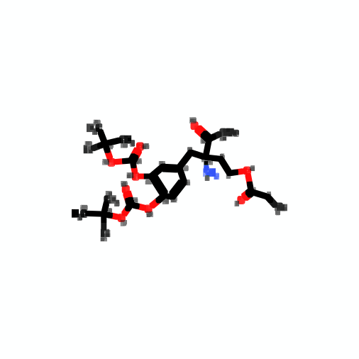 CCC(C)CC(=O)OCC[C@@](N)(Cc1ccc(OC(=O)OC(C)(C)CC)c(OC(=O)OC(C)(C)CC)c1)C(=O)OC